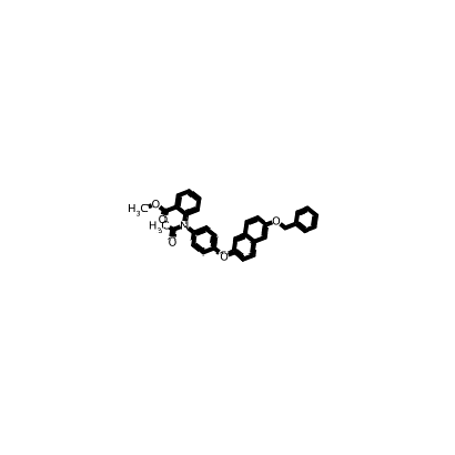 COC(=O)c1ccccc1N(C(C)=O)c1ccc(Oc2ccc3cc(OCc4ccccc4)ccc3c2)cc1